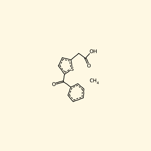 C.O=C(O)Cc1ccc(C(=O)c2ccccc2)s1